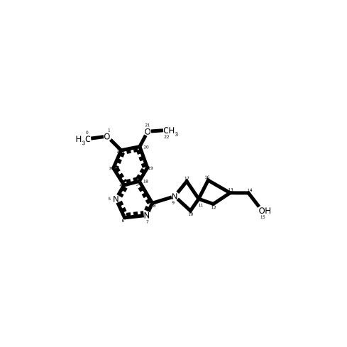 COc1cc2ncnc(N3CC4(CC(CO)C4)C3)c2cc1OC